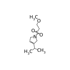 COCCS(=O)(=O)N1CC=C(C(C)C)C1